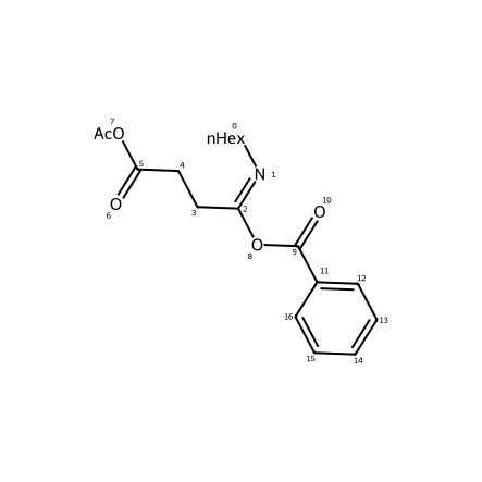 CCCCCCN=C(CCC(=O)OC(C)=O)OC(=O)c1ccccc1